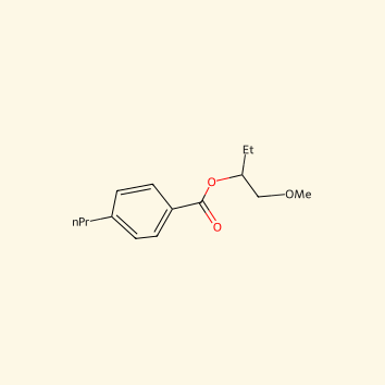 CCCc1ccc(C(=O)OC(CC)COC)cc1